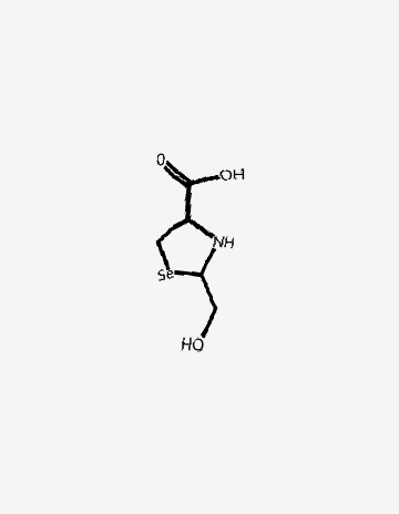 O=C(O)C1C[Se]C(CO)N1